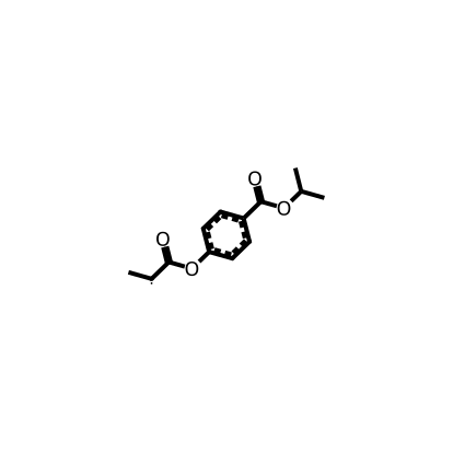 C[CH]C(=O)Oc1ccc(C(=O)OC(C)C)cc1